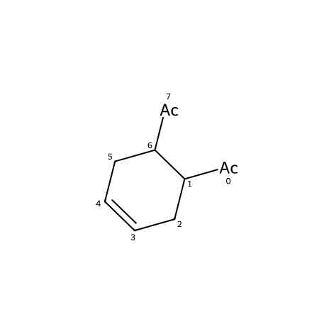 CC(=O)C1CC=CCC1C(C)=O